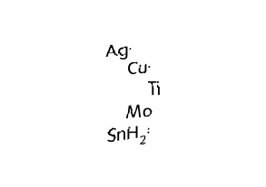 [Ag].[Cu].[Mo].[SnH2].[Ti]